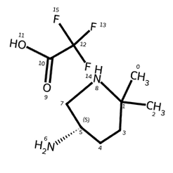 CC1(C)CC[C@H](N)CN1.O=C(O)C(F)(F)F